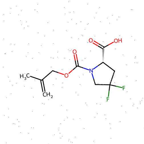 C=C(C)COC(=O)N1CC(F)(F)C[C@H]1C(=O)O